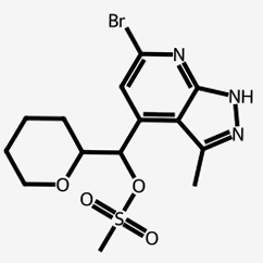 Cc1n[nH]c2nc(Br)cc(C(OS(C)(=O)=O)C3CCCCO3)c12